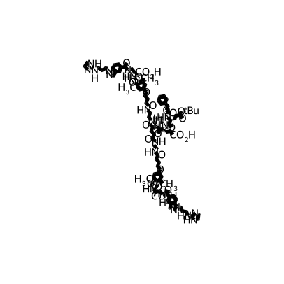 Cc1cc(OCCCC(=O)NCCNC(=O)CCC(NC(=O)[C@H](CCC(=O)O)NC(=O)[C@H](CCC(=O)OC(C)(C)C)NC(=O)OCc2ccccc2)C(=O)NCCNC(=O)CCCOc2cc(C)c(S(=O)(=O)N[C@@H](CNC(=O)c3ccc4c(cnn4CCCNc4ncc[nH]4)c3)C(=O)O)c(C)c2)cc(C)c1S(=O)(=O)N[C@@H](CNC(=O)c1ccc2c(cnn2CCCNc2ncc[nH]2)c1)C(=O)O